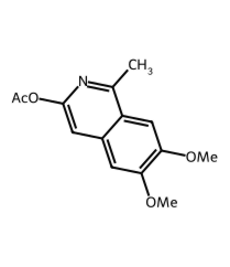 COc1cc2cc(OC(C)=O)nc(C)c2cc1OC